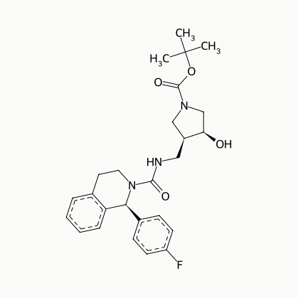 CC(C)(C)OC(=O)N1C[C@H](CNC(=O)N2CCc3ccccc3[C@@H]2c2ccc(F)cc2)[C@H](O)C1